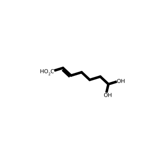 O=C(O)C=CCCCC(O)O